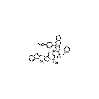 CC[C@H](C)[C@@H](C(=O)N[C@@H](Cc1ccccc1)[C@@H](O)CN(CC1CCCC1)S(=O)(=O)c1ccc(OC)cc1)N1CCN(Cc2nc3ccccc3n2C)C1=O